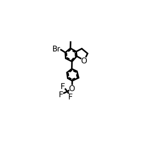 Cc1c(Br)cc(-c2ccc(OC(F)(F)F)cc2)c2c1CCO2